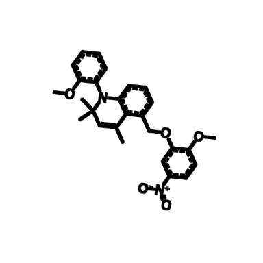 COc1ccc([N+](=O)[O-])cc1OCc1cccc2c1C(C)=CC(C)(C)N2c1ccccc1OC